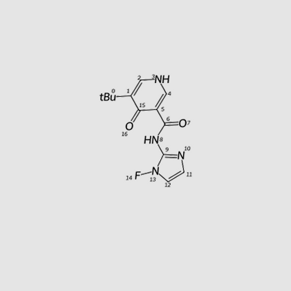 CC(C)(C)c1c[nH]cc(C(=O)Nc2nccn2F)c1=O